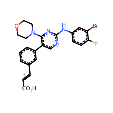 O=C(O)/C=C/c1cccc(-c2cnc(Nc3ccc(F)c(Br)c3)nc2N2CCOCC2)c1